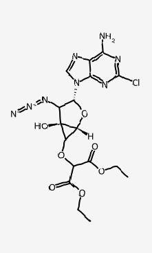 CCOC(=O)C(OC1[C@H]2O[C@@H](n3cnc4c(N)nc(Cl)nc43)C(N=[N+]=[N-])[C@@]12O)C(=O)OCC